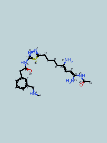 CNCc1cccc(CC(=O)Nc2nnc(CCCC/C(N)=C/C=C(\N)NC(C)=O)s2)c1